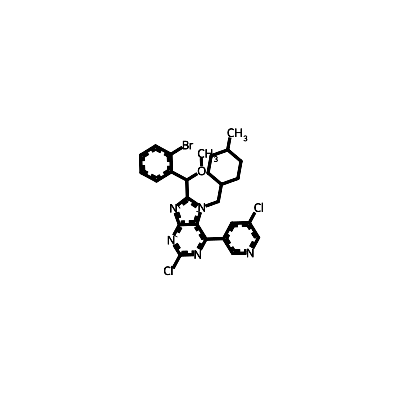 COC(c1ccccc1Br)c1nc2nc(Cl)nc(-c3cncc(Cl)c3)c2n1CC1CCC(C)CC1